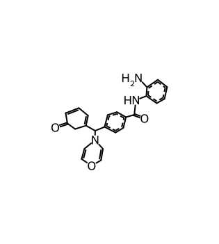 Nc1ccccc1NC(=O)c1ccc(C(C2=CC=CC(=O)C2)N2C=COC=C2)cc1